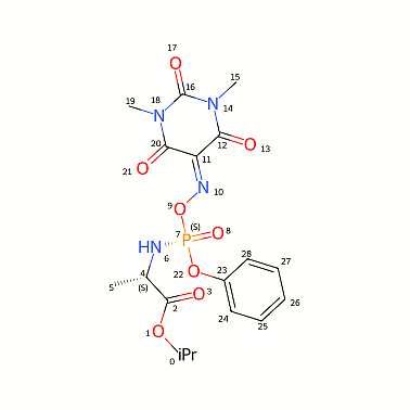 CC(C)OC(=O)[C@H](C)N[P@@](=O)(ON=C1C(=O)N(C)C(=O)N(C)C1=O)Oc1ccccc1